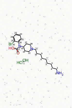 Cl.Cl.NCCCCCCCCCN1CCC(N(C(=O)O)c2ccccc2Br)CC1